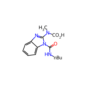 CCCCNC(=O)n1c(N(C)C(=O)O)nc2ccccc21